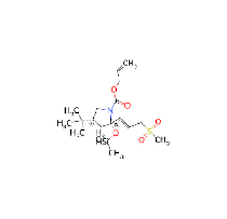 C=CCOC(=O)N1C[C@@H](C(C)(C)C)C[C@@]1(C=CCS(C)(=O)=O)O[SiH](C)C